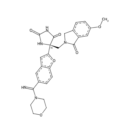 COc1ccc2c(c1)C(=O)N(C[C@@]1(c3cc4cc(C(=N)N5CCOCC5)ccc4o3)NC(=O)NC1=O)C2